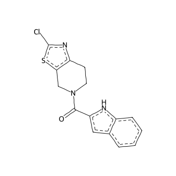 O=C(c1cc2ccccc2[nH]1)N1CCc2nc(Cl)sc2C1